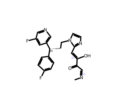 C/N=C\C(=O)/C(O)=C/c1nccn1CC[C@H](c1ccc(F)cc1)c1cncc(F)c1